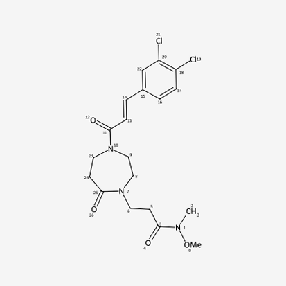 CON(C)C(=O)CCN1CCN(C(=O)C=Cc2ccc(Cl)c(Cl)c2)CCC1=O